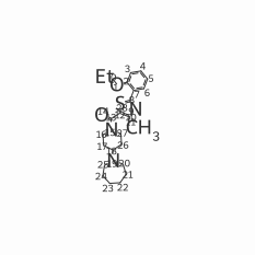 CCOc1ccccc1-c1nc(C)c(C(=O)N2CCC(N3CCCCCC3)CC2)s1